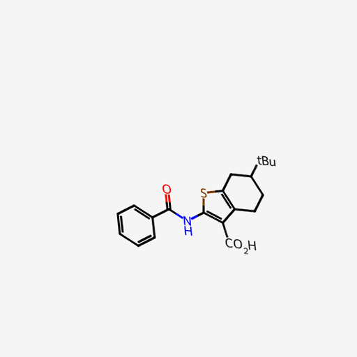 CC(C)(C)C1CCc2c(sc(NC(=O)c3ccccc3)c2C(=O)O)C1